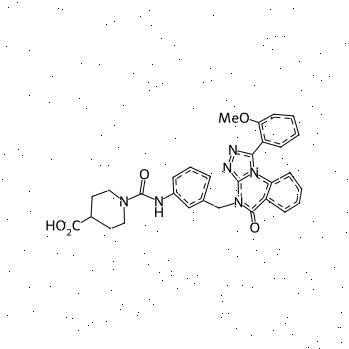 COc1ccccc1-c1nnc2n(Cc3cccc(NC(=O)N4CCC(C(=O)O)CC4)c3)c(=O)c3ccccc3n12